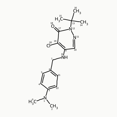 CN(C)c1ccc(CNc2cnn(C(C)(C)C)c(=O)c2Cl)cc1